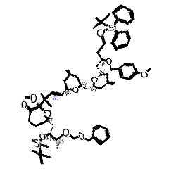 C=C1C[C@H](C[C@@H]2CC(=C)C[C@H](/C=C/C(C)(C)[C@]3(OC)O[C@H](C[C@@H](O[Si](C)(C)C(C)(C)C)[C@@H](C)OCOCc4ccccc4)CCC3=O)O2)O[C@H](C[C@@H](CCO[Si](c2ccccc2)(c2ccccc2)C(C)(C)C)OCc2ccc(OC)cc2)C1